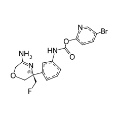 NC1=N[C@](CF)(c2cccc(NC(=O)Oc3ccc(Br)cn3)c2)COC1